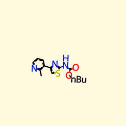 CCCCOC(=O)Nc1nc(-c2cccnc2C)cs1